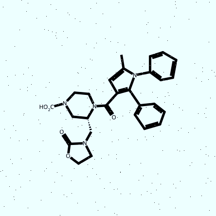 Cc1cc(C(=O)N2CCN(C(=O)O)C[C@H]2CN2CCOC2=O)c(-c2ccccc2)n1-c1ccccc1